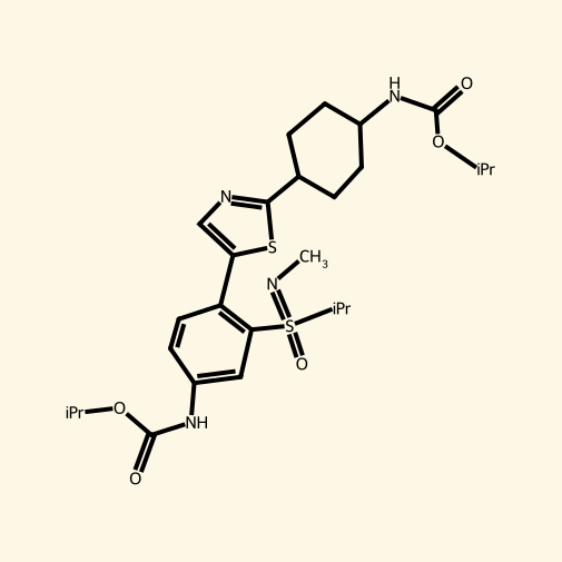 CN=S(=O)(c1cc(NC(=O)OC(C)C)ccc1-c1cnc(C2CCC(NC(=O)OC(C)C)CC2)s1)C(C)C